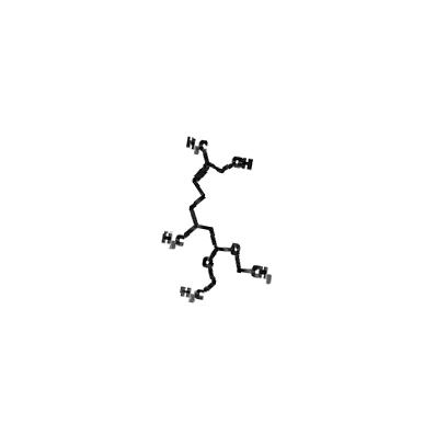 CCOC(CC(C)CC/C=C(/C)CO)OCC